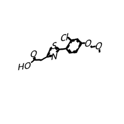 COCOc1ccc(-c2nc(CC(=O)O)cs2)c(Cl)c1